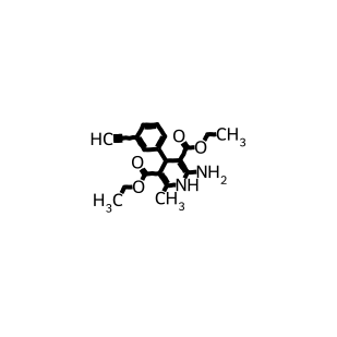 C#Cc1cccc(C2C(C(=O)OCC)=C(C)NC(N)=C2C(=O)OCC)c1